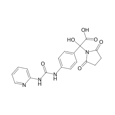 O=C(Nc1ccc(C(O)(C(=O)O)N2C(=O)CCC2=O)cc1)Nc1ccccn1